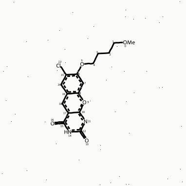 COCCCCOc1cc2oc3nc(=O)[nH]c(=O)c-3cc2cc1Cl